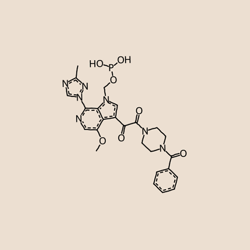 COc1cnc(-n2cnc(C)n2)c2c1c(C(=O)C(=O)N1CCN(C(=O)c3ccccc3)CC1)cn2COP(O)O